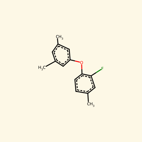 Cc1cc(C)cc(Oc2ccc(C)cc2F)c1